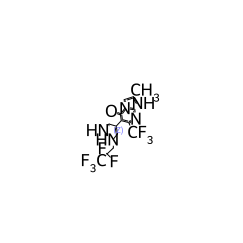 Cc1cn2c(=O)c(/C(C=N)=C/NCC(F)(F)C(F)(F)F)c(C(F)(F)F)nc2[nH]1